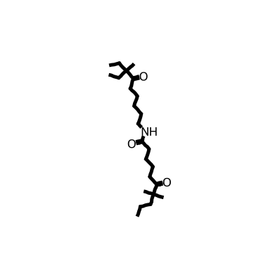 CCCC(C)(C)C(=O)CCCCC(=O)NCCCCCC(=O)C(C)(CC)CC